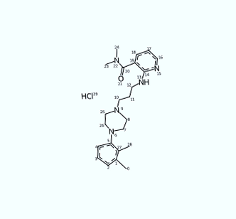 Cc1cccc(N2CCN(CCCNc3ncccc3C(=O)N(C)C)CC2)c1C.Cl